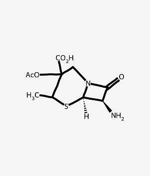 CC(=O)OC1(C(=O)O)CN2C(=O)[C@@H](N)[C@H]2SC1C